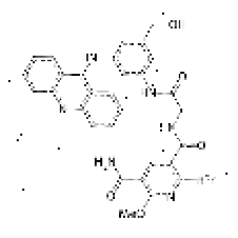 CCCc1nc(OC)c(C(N)=O)cc1C(=O)NC(C)C(=O)Nc1cc(CO)cc(Nc2c3ccccc3nc3ccccc23)c1